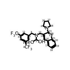 COC(O)N(Cc1cc(C(F)(F)F)cc(C(F)(F)F)c1)Cc1cc2cc#ccc2nc1N1CCCC1